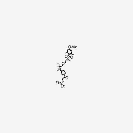 CCN(CC)CCC(=O)N1CC[C@@H](N(C)C(=O)COCCN(C)S(=O)(=O)c2c(C)cc(OC)cc2C)C1